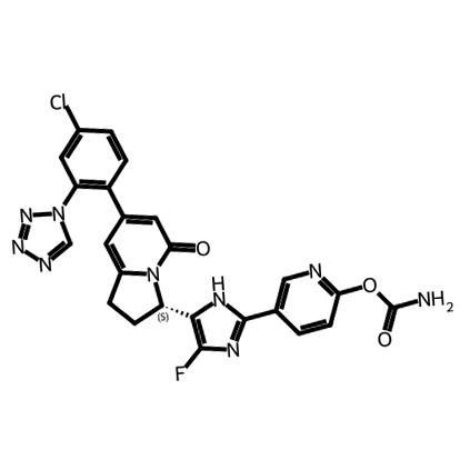 NC(=O)Oc1ccc(-c2nc(F)c([C@@H]3CCc4cc(-c5ccc(Cl)cc5-n5cnnn5)cc(=O)n43)[nH]2)cn1